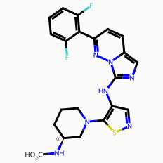 O=C(O)N[C@H]1CCCN(c2sncc2Nc2ncc3ccc(-c4c(F)cccc4F)nn23)C1